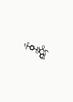 CCNC(=O)c1nc(-c2ccc(C(F)(F)F)cc2)oc1-c1ccncc1